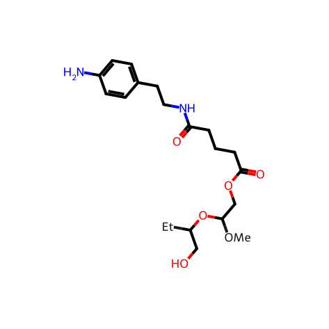 CCC(CO)OC(COC(=O)CCCC(=O)NCCc1ccc(N)cc1)OC